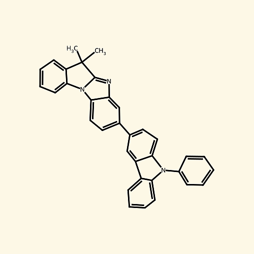 CC1(C)c2ccccc2-n2c1nc1cc(-c3ccc4c(c3)c3ccccc3n4-c3ccccc3)ccc12